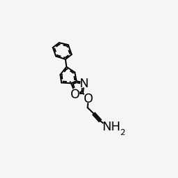 NC#CCOc1nc2cc(-c3ccccc3)ccc2o1